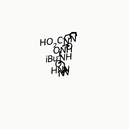 CC[C@H](C)[C@H](NC(=O)Cc1nnn[nH]1)C(=O)NCC(=O)N1c2ncccc2C[C@H]1C(=O)O